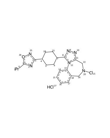 CC(C)c1nc(C2CCC(c3nnc4n3-c3ccccc3CN(Cl)C4)CC2)no1.Cl